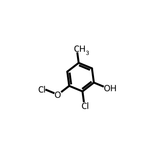 Cc1cc(O)c(Cl)c(OCl)c1